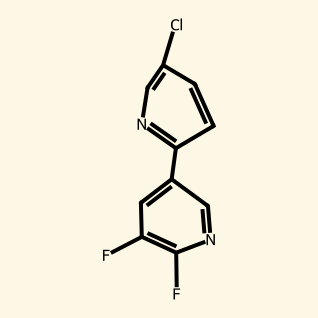 Fc1cc(-c2ccc(Cl)cn2)cnc1F